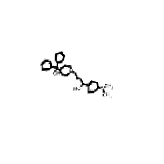 CN(C)c1ccc(C(O)CCCN2CCC(C(O)(c3ccccc3)c3ccccc3)CC2)cc1